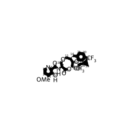 COc1ccnc(C(=O)N[C@H]2COC[C@H](Cc3ccc(C(F)(F)F)cc3)[C@@H](OC(=O)C3CC3)[C@H](C)OC2=O)c1O